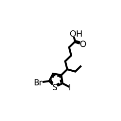 CCC(CCCC(=O)O)c1cc(Br)sc1I